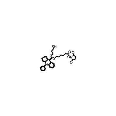 O=C(CCCCCSC(SCCCS)=C1c2ccccc2N(c2ccccc2)c2ccccc21)ON1C(=O)CCC1=O